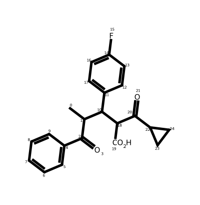 CC(C(=O)c1ccccc1)C(c1ccc(F)cc1)C(C(=O)O)C(=O)C1CC1